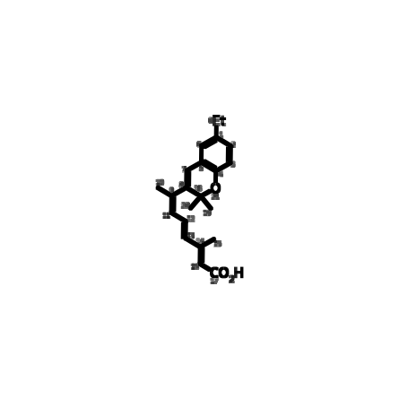 CCc1ccc2c(c1)C=C(\C(C)=C/C=C/C(C)=C/C(=O)O)C(C)(C)O2